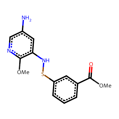 COC(=O)c1cccc(SNc2cc(N)cnc2OC)c1